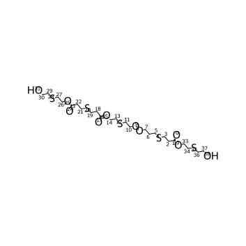 O=C(CCSCCCOOCCSCCOC(=O)CCSCCC(=O)OCCSCCO)OCCSCCO